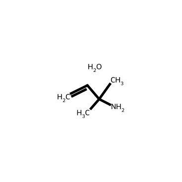 C=CC(C)(C)N.O